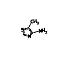 Cc1scnc1N